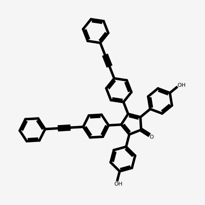 O=C1C(c2ccc(O)cc2)=C(c2ccc(C#Cc3ccccc3)cc2)C(c2ccc(C#Cc3ccccc3)cc2)=C1c1ccc(O)cc1